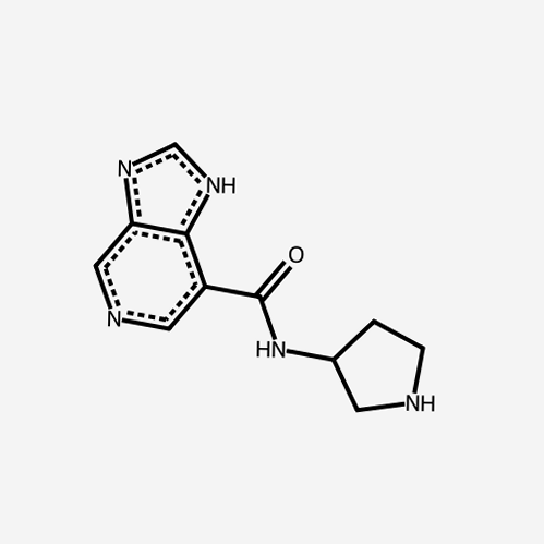 O=C(NC1CCNC1)c1cncc2nc[nH]c12